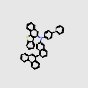 c1ccc(-c2ccc(N(c3ccc4c(-c5cc6ccccc6c6ccccc56)cccc4c3)c3cc4ccccc4c4sc5ccccc5c34)cc2)cc1